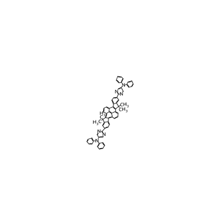 CC1(C)c2cc(-c3ncc(N(c4ccccc4)c4ccccc4)cn3)ccc2-c2c1c1cccc3c4c(c5cccc2c5c31)C(C)(C)c1cc(-c2ncc(N(c3ccccc3)c3ccccc3)cn2)ccc1-4